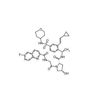 C[C@@H](NC(=O)[C@@H]1C[C@@H](O)CN1C(=O)CNC(=O)c1ccc2cc(F)ccc2n1)c1ccc(S(=O)(=O)NC2CCOCC2)cc1/C=C/C1CC1